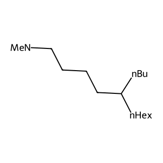 CCCCCCC(CCCC)CCCCNC